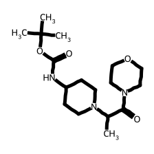 CC(C(=O)N1CCOCC1)N1CCC(NC(=O)OC(C)(C)C)CC1